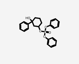 O=P(Oc1ccccc1)(Oc1ccccc1)OC1CCCC(O)(c2ccccc2)C1